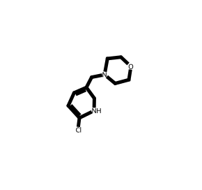 ClC1=CC=C(CN2CCOCC2)CN1